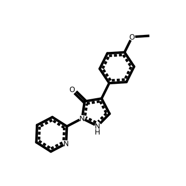 COc1ccc(-c2c[nH]n(-c3ccccn3)c2=O)cc1